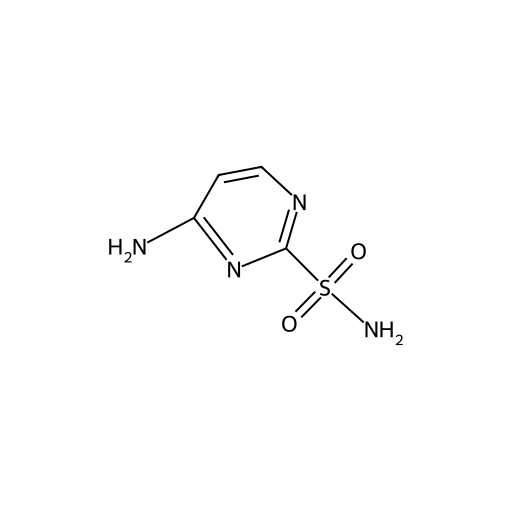 Nc1ccnc(S(N)(=O)=O)n1